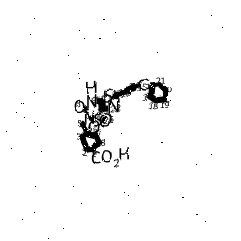 O=C(O)c1ccc(CN2C(=O)Nc3sc(C#CCc4ccccc4)nc3S2(=O)=O)cc1